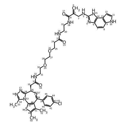 C=C(CNc1nc2ccc3[nH]ccc3c2[nH]1)C(=O)NCCNC(=O)CCOCCOCCNC(=O)C[C@H]1N=C(c2ccc(Cl)cc2)c2c(sc(C)c2C)-n2c(C)nnc21